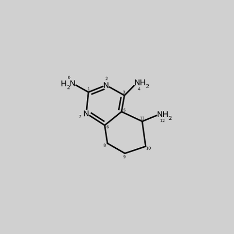 Nc1nc(N)c2c(n1)CCCC2N